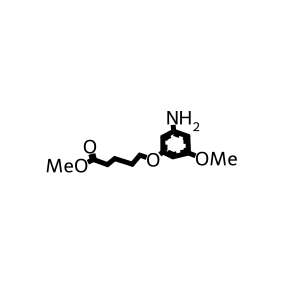 COC(=O)CCCCOc1cc(N)cc(OC)c1